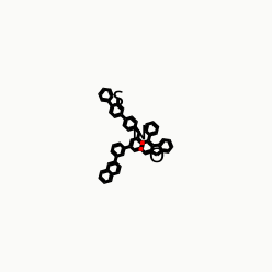 c1cc(-c2cccc(N(c3ccc(-c4ccc5c(c4)sc4ccccc45)cc3)c3ccccc3-c3cccc4oc5ccccc5c34)c2)cc(-c2ccc3ccccc3c2)c1